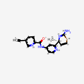 C#Cc1ccc(C(=O)Nc2ccnc([C@]3(C)C=CSC(N)=N3)c2)nc1